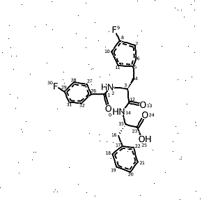 O=C(N[C@@H](Cc1ccc(F)cc1)C(=O)N[C@@H](Cc1ccccc1)C(=O)O)c1ccc(F)cc1